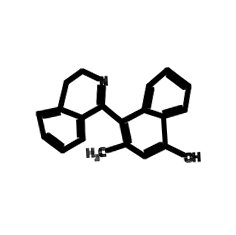 Cc1cc(O)c2ccccc2c1C1=NCCc2ccccc21